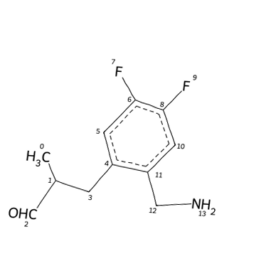 CC(C=O)Cc1cc(F)c(F)cc1CN